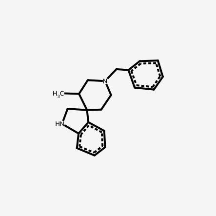 CC1CN(Cc2ccccc2)CCC12CNc1ccccc12